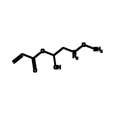 C=CC(=O)OC(O)C[SiH2]O[SiH3]